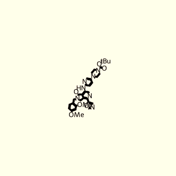 COc1ccc(CN2Cc3c(-c4cnco4)ncc(Nc4ccc(N5CCN(C(=O)OC(C)(C)C)CC5)cn4)c3C2=O)c(OC)c1